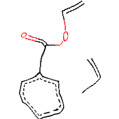 C=CC.C=COC(=O)c1ccccc1